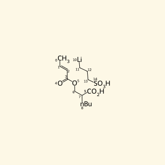 CC=CC(=O)OCC(CCCC)C(=O)O.[Li][CH2]CCS(=O)(=O)O